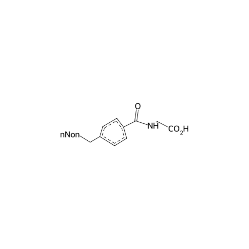 CCCCCCCCCCc1ccc(C(=O)NCC(=O)O)cc1